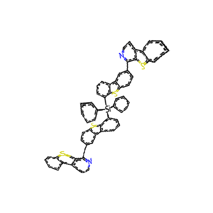 c1ccc([Si](c2ccccc2)(c2cccc3c2sc2ccc(-c4nccc5c4sc4ccccc45)cc23)c2cccc3c2sc2ccc(-c4nccc5c4sc4ccccc45)cc23)cc1